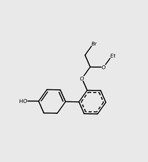 CCOC(CBr)Oc1ccccc1C1=CC=C(O)CC1